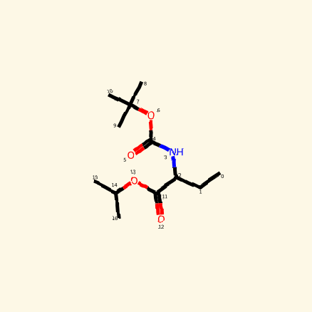 CCC(NC(=O)OC(C)(C)C)C(=O)OC(C)C